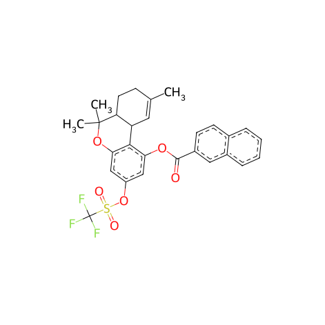 CC1=CC2c3c(OC(=O)c4ccc5ccccc5c4)cc(OS(=O)(=O)C(F)(F)F)cc3OC(C)(C)C2CC1